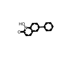 O=c1ccc2cc(-c3ccccc3)ccc2n1O